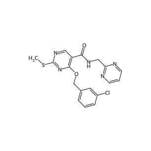 CSc1ncc(C(=O)NCc2ncccn2)c(OCc2cccc(Cl)c2)n1